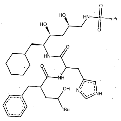 CCCS(=O)(=O)NC[C@H](O)C[C@H](O)[C@H](CC1CCCCC1)NC(=O)C(Cc1c[nH]cn1)NC(=O)C(Cc1ccccc1)CC(O)C(C)(C)C